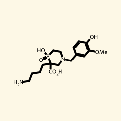 COc1cc(CN2CCP(=O)(O)C(CCCCN)(C(=O)O)C2)ccc1O